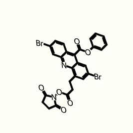 O=C(CCc1cc(Br)cc2c(C(=O)Oc3ccccc3)c3ccc(Br)cc3nc12)ON1C(=O)CCC1=O